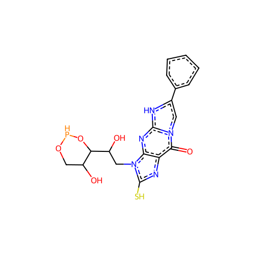 O=c1c2nc(S)n(CC(O)C3OPOCC3O)c2nc2[nH]c(-c3ccccc3)cn12